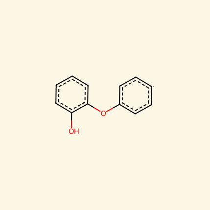 Oc1ccccc1Oc1cc[c]cc1